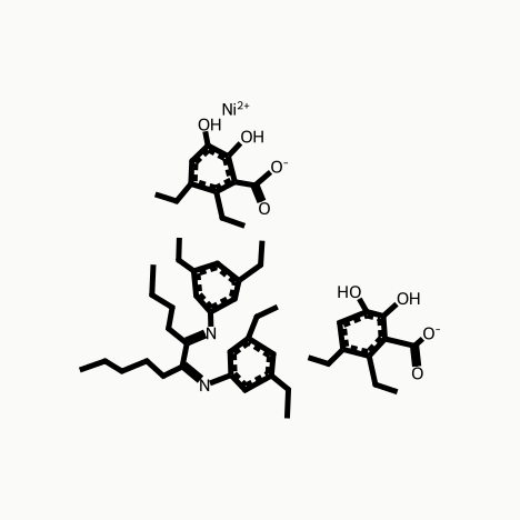 CCCCCC(=Nc1cc(CC)cc(CC)c1)C(CCCC)=Nc1cc(CC)cc(CC)c1.CCc1cc(O)c(O)c(C(=O)[O-])c1CC.CCc1cc(O)c(O)c(C(=O)[O-])c1CC.[Ni+2]